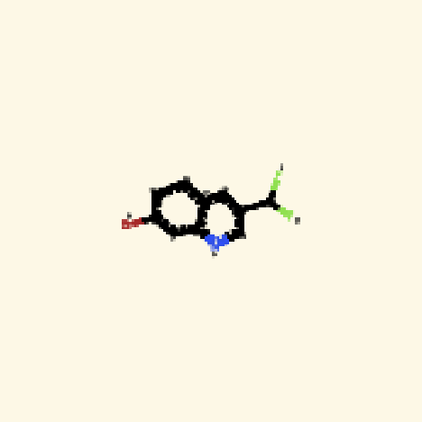 FC(F)c1cnc2cc(Br)ccc2c1